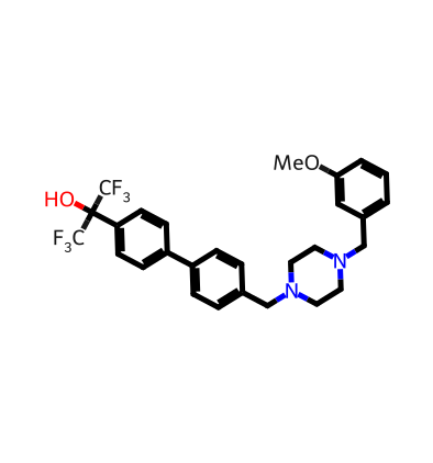 COc1cccc(CN2CCN(Cc3ccc(-c4ccc(C(O)(C(F)(F)F)C(F)(F)F)cc4)cc3)CC2)c1